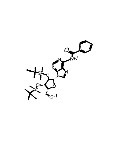 CC(C)(C)[Si](C)(C)O[C@@H]1[C@H](O[Si](C)(C)C(C)(C)C)[C@@H](CO)O[C@H]1n1cnc2c(NC(=O)c3ccccc3)ncnc21